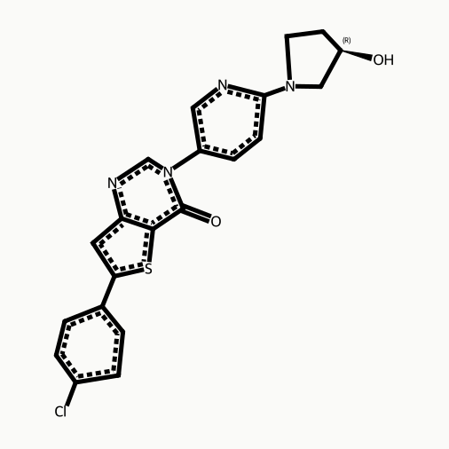 O=c1c2sc(-c3ccc(Cl)cc3)cc2ncn1-c1ccc(N2CC[C@@H](O)C2)nc1